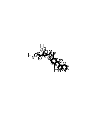 COC(=O)c1cc(S(=O)(=O)N(F)c2ccc(F)c(C(=O)c3c[nH]c4ncccc34)c2)oc1C